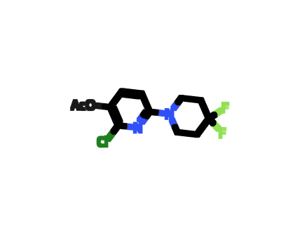 CC(=O)Oc1ccc(N2CCC(F)(F)CC2)nc1Cl